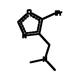 CC(C)c1ocnc1CN(C)C